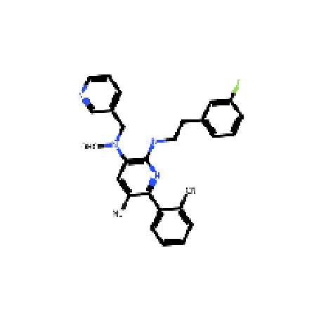 N#Cc1ccccc1-c1nc(NCCc2cccc(F)c2)c(N(C=O)Cc2cccnc2)cc1C#N